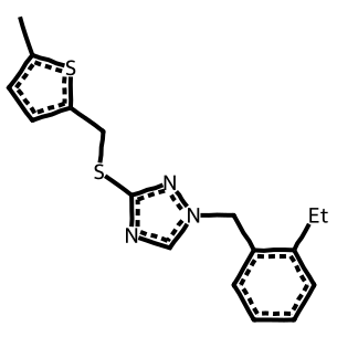 CCc1ccccc1Cn1cnc(SCc2ccc(C)s2)n1